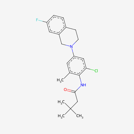 Cc1cc(N2CCc3ccc(F)cc3C2)cc(Cl)c1NC(=O)CC(C)(C)C